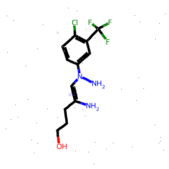 N/C(=C\N(N)c1ccc(Cl)c(C(F)(F)F)c1)CCCO